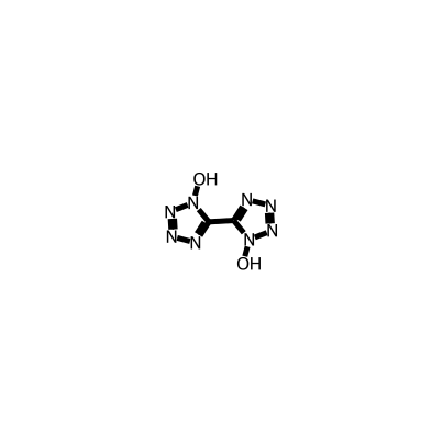 On1nnnc1-c1nnnn1O